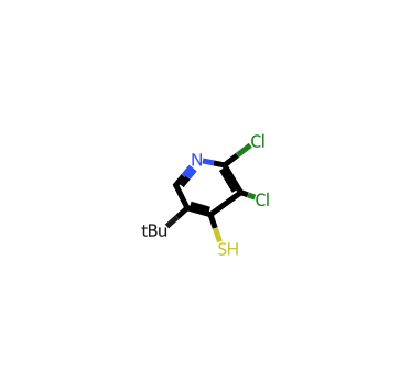 CC(C)(C)c1cnc(Cl)c(Cl)c1S